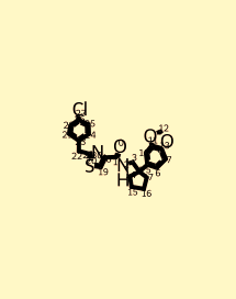 O=C(NCC1(c2ccc3c(c2)OCO3)CCCC1)c1csc(Cc2ccc(Cl)cc2)n1